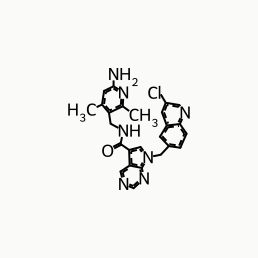 Cc1cc(N)nc(C)c1CNC(=O)c1cn(Cc2ccc3ncc(Cl)cc3c2)c2ncncc12